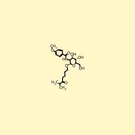 COc1ccc(C(=O)NC2[C@H](OCCCCC(=O)C(C)C)OC(CO)[C@@H](O)[C@@H]2O)cc1